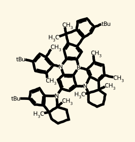 Cc1cc(C)c2c3c1B1c4cc5c(cc4N(c4c(C)cc(C(C)(C)C)cc4C)c4cc(N6c7ccc(C(C)(C)C)cc7C7(C)CCCCC67C)cc(c41)N3C1(C)CCCCC21C)C(C)(C)c1ccc(C(C)(C)C)cc1-5